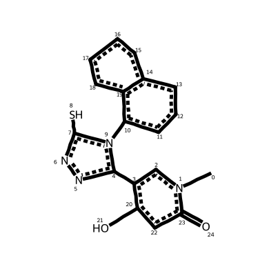 Cn1cc(-c2nnc(S)n2-c2cccc3ccccc23)c(O)cc1=O